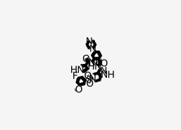 COc1cc(F)cc(S(=O)(=O)N2CCc3[nH]nc(NC(=O)c4ccc(N5CCN(C)CC5)cc4NC(=O)c4cc[nH]c4)c3C2)c1